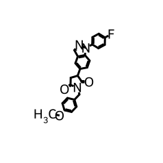 COc1ccc(CN2C(=O)CC(c3ccc4c(cnn4-c4ccc(F)cc4)c3)C2=O)cc1